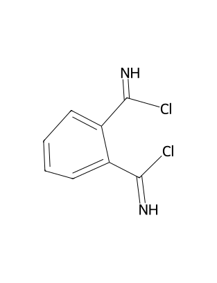 N=C(Cl)c1ccccc1C(=N)Cl